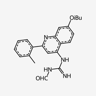 Cc1ccccc1-c1cc(NC(=N)NC=O)c2ccc(OCC(C)C)cc2n1